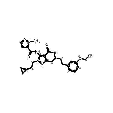 Cn1nccc1C(=O)Nc1c2c(nn1CCC1CC1)C[C@H](CCc1cccc(OCC(F)(F)F)c1)NC2=O